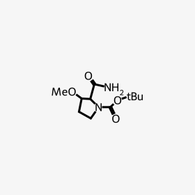 COC1CCN(C(=O)OC(C)(C)C)C1C(N)=O